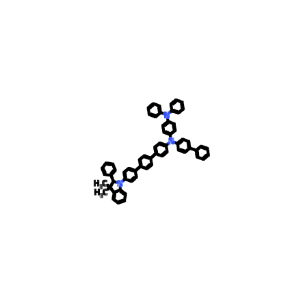 CC1(C)c2ccccc2N(c2ccc(-c3ccc(-c4ccc(N(c5ccc(-c6ccccc6)cc5)c5ccc(N(c6ccccc6)c6ccccc6)cc5)cc4)cc3)cc2)C1c1ccccc1